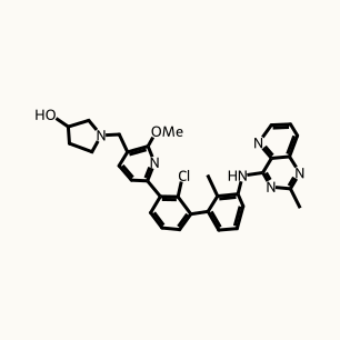 COc1nc(-c2cccc(-c3cccc(Nc4nc(C)nc5cccnc45)c3C)c2Cl)ccc1CN1CCC(O)C1